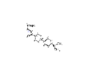 CCCCCCC/C=C/C(=O)N1CCN(c2ccc(N(C)C)cc2)CC1